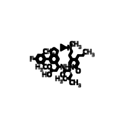 CCCc1cc(=O)n([C@H](CC(C)C)C(=O)NC(CC(=O)O)c2cc3c(c(-c4c(C)cc(F)cc4C)c2)CCC3)cc1CCN(C)C1CC1